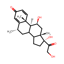 C[C@H]1CC2C3CC[C@](O)(C(=O)CO)[C@@]3(C)C[C@H](O)[C@@H]2[C@@]2(C)C=CC(=O)C=C12